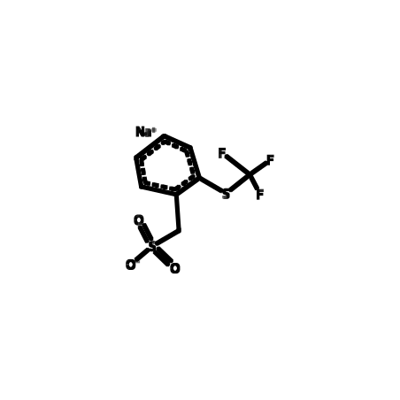 O=S(=O)([O-])Cc1ccccc1SC(F)(F)F.[Na+]